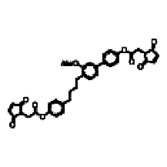 COc1cc(-c2ccc(OC(=O)CC3C(=O)C=CC3=O)cc2)ccc1CCCCc1ccc(OC(=O)CC2C(=O)C=CC2=O)cc1